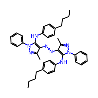 CCCCc1ccc(Nc2c(N=Nc3c(C)nn(-c4ccccc4)c3Nc3ccc(CCCC)cc3)c(C)nn2-c2ccccc2)cc1